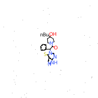 CCCCC1(O)CCN(C(=O)C(c2ccccc2)n2cnc3[nH]ncc3c2=S)CC1